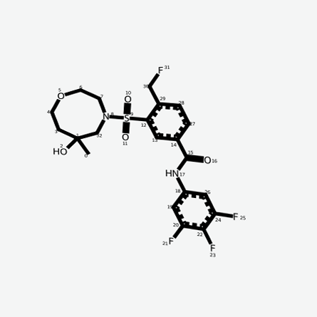 CC1(O)CCOCCN(S(=O)(=O)c2cc(C(=O)Nc3cc(F)c(F)c(F)c3)ccc2CF)C1